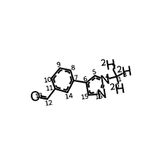 [2H]C([2H])([2H])n1cc(-c2cccc(C=O)c2)cn1